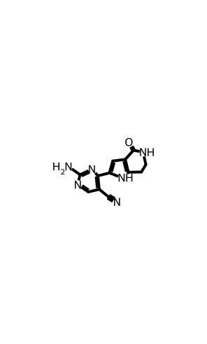 N#Cc1cnc(N)nc1-c1cc2c([nH]1)CCNC2=O